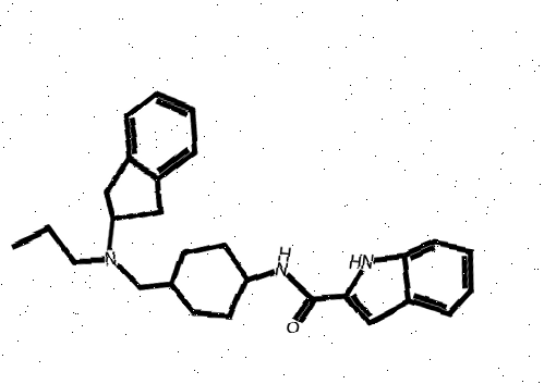 CCCN(CC1CCC(NC(=O)c2cc3ccccc3[nH]2)CC1)C1Cc2ccccc2C1